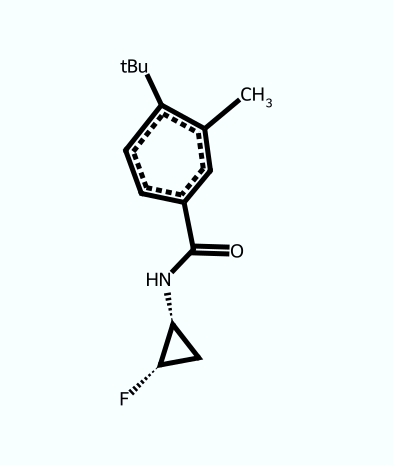 Cc1cc(C(=O)N[C@@H]2C[C@@H]2F)ccc1C(C)(C)C